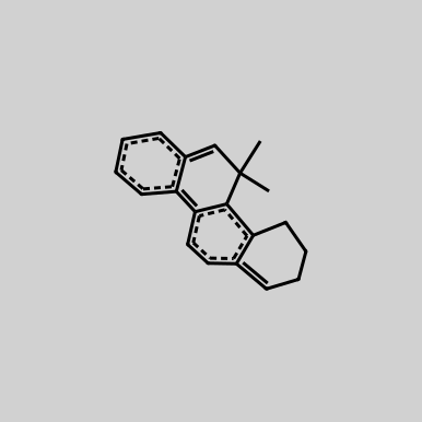 CC1(C)C=c2ccccc2=c2ccc3c(c21)CCCC=3